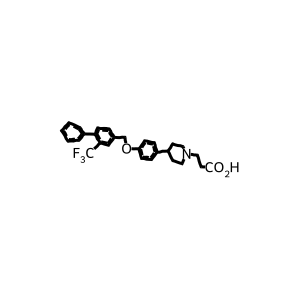 O=C(O)CCN1CCC(c2ccc(OCc3ccc(-c4ccccc4)c(C(F)(F)F)c3)cc2)CC1